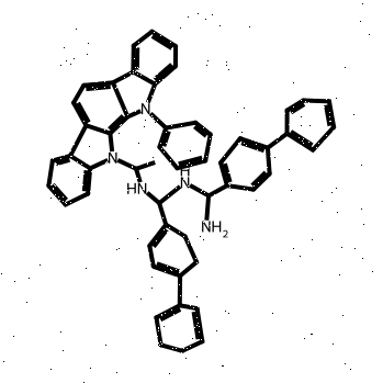 CC(NC(NC(N)c1ccc(-c2ccccc2)cc1)C1=CC=C(C2=CCCC=C2)CC1)n1c2ccccc2c2ccc3c4ccccc4n(-c4ccccc4)c3c21